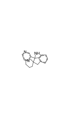 NC1(c2cnccn2)c2ccccc2CC12CCCCC2